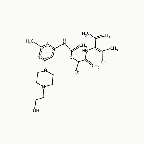 C=C(Nc1cc(N2CCN(CCO)CC2)nc(C)n1)SC(CC)C(=C)NC(C(=C)C)=C(C)C